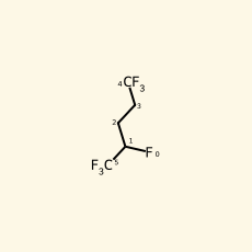 FC(CCC(F)(F)F)C(F)(F)F